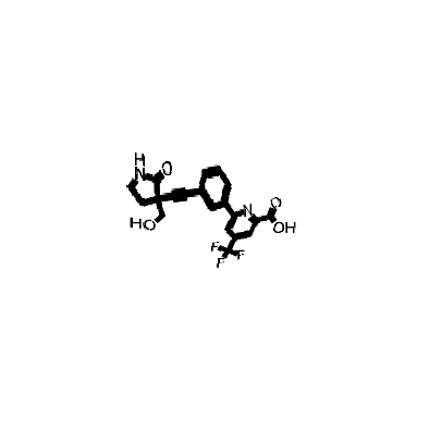 O=C(O)c1cc(C(F)(F)F)cc(-c2cccc(C#CC3(CO)CCNC3=O)c2)n1